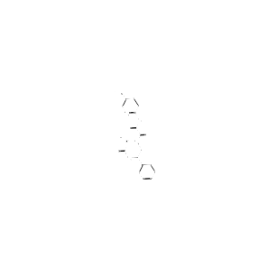 CC(C)(C)OC(=O)NC(CNC(=O)C(=O)Nc1ccc(Cl)cn1)c1ccccc1